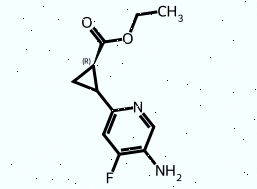 CCOC(=O)[C@@H]1CC1c1cc(F)c(N)cn1